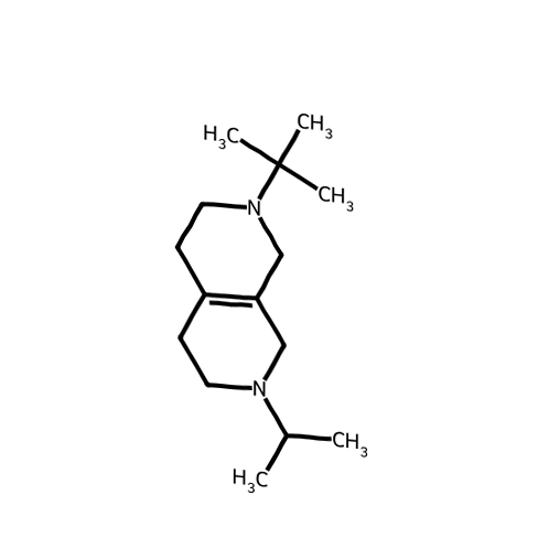 CC(C)N1CCC2=C(C1)CN(C(C)(C)C)CC2